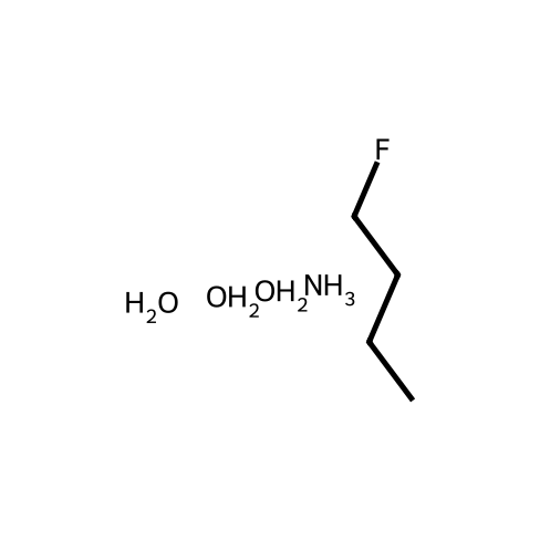 CCCCF.N.O.O.O